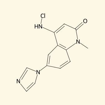 Cn1c(=O)cc(NCl)c2cc(-n3ccnc3)ccc21